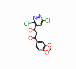 O=C(CC(=O)c1cc(Cl)nnc1Cl)c1ccc2c(c1)OCO2